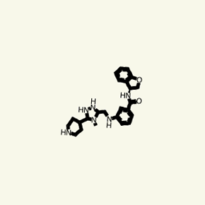 CN1C(CNc2cccc(C(=O)N[C@@H]3COc4ccccc43)c2)NNC1C1CCNCC1